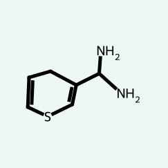 NC(N)C1=CSC=CC1